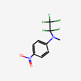 CN(c1ccc([N+](=O)[O-])cc1)C(F)(F)C(F)(F)F